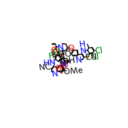 C=CC(=O)N1C[C@H]2C[C@@H](C1)[C@H]2Oc1cc2c(Nc3ccc(C[C@@]4(C(C)C)C[C@@H](Oc5cc6c(NC7C(F)=C(Cl)C(Cl)=CC7C)c(C#N)cnc6cc5OC)CCN4C(=O)C=C)c(Cl)c3F)c(C#N)cnc2cc1OC